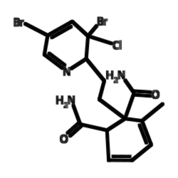 CC1=CC=CC(C(N)=O)C1(CCC1N=CC(Br)=CC1(Cl)Br)C(N)=O